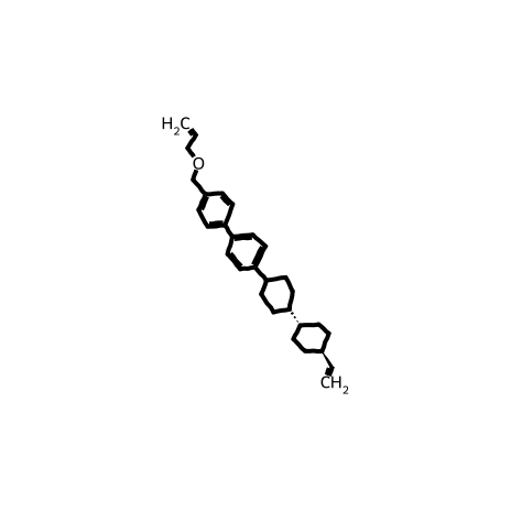 C=CCOCc1ccc(-c2ccc(C3CCC([C@H]4CC[C@H](C=C)CC4)CC3)cc2)cc1